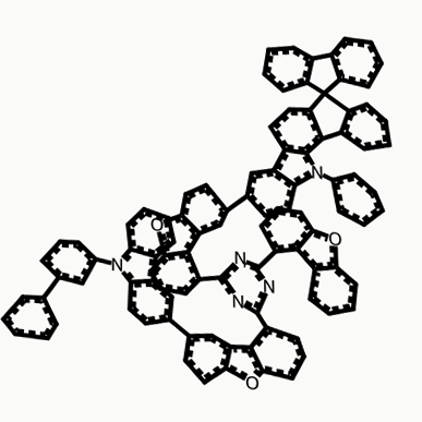 c1ccc(-c2cccc(-n3c4ccccc4c4cc(-c5ccc6oc7cccc(-c8nc(-c9cccc%10oc%11ccccc%11c9%10)nc(-c9cccc%10oc%11ccc(-c%12ccc%13c(c%12)c%12ccc%14c(c%12n%13-c%12ccccc%12)-c%12ccccc%12C%14%12c%13ccccc%13-c%13ccccc%13%12)cc%11c9%10)n8)c7c6c5)ccc43)c2)cc1